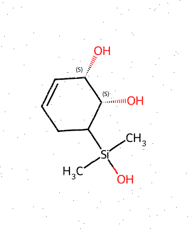 C[Si](C)(O)C1CC=C[C@H](O)[C@@H]1O